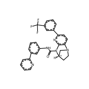 O=C(Nc1cccc(-c2ccccn2)c1)N1c2nc(-c3cccc(C(F)(F)F)c3)ccc2N2CC[C@H]1C2